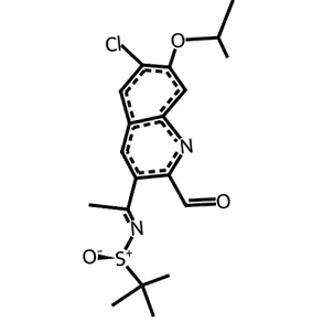 C/C(=N\[S@+]([O-])C(C)(C)C)c1cc2cc(Cl)c(OC(C)C)cc2nc1C=O